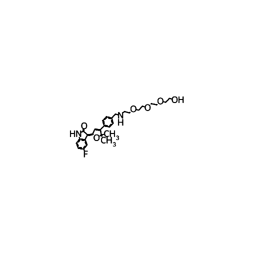 CC1(C)O/C(=C2/C(=O)Nc3ccc(F)cc32)C=C1c1ccc(CNCCOCCOCCOCCO)cc1